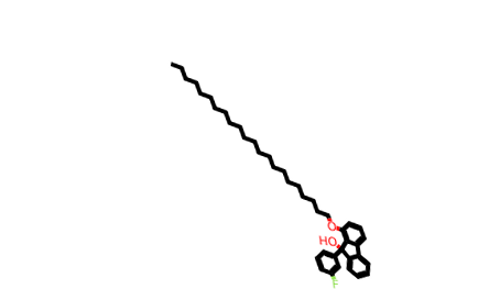 CCCCCCCCCCCCCCCCCCCCCCOc1cccc2c1C(O)(c1cccc(F)c1)c1ccccc1-2